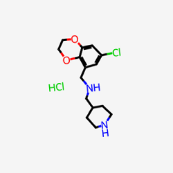 Cl.Clc1cc(CNCC2CCNCC2)c2c(c1)OCCO2